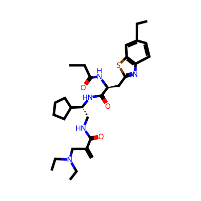 C=C(CN(CC)CC)C(=O)NC[C@@H](NC(=O)[C@H](Cc1nc2ccc(CC)cc2s1)NC(=O)CC)C1CCCC1